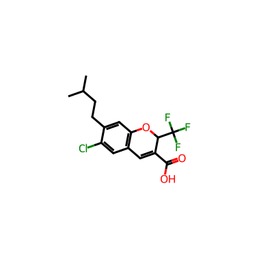 CC(C)CCc1cc2c(cc1Cl)C=C(C(=O)O)C(C(F)(F)F)O2